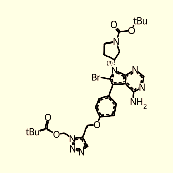 CC(C)(C)OC(=O)N1CC[C@@H](n2c(Br)c(-c3ccc(OCc4cnnn4COC(=O)C(C)(C)C)cc3)c3c(N)ncnc32)C1